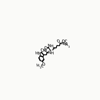 CONC(=O)CCCCC[C@H](NC(=O)Cc1c(C)[nH]c2ccc(OC)cc12)C(N)=O